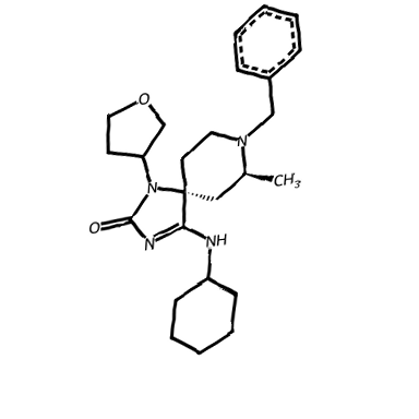 C[C@H]1C[C@]2(CCN1Cc1ccccc1)C(NC1CCCCC1)=NC(=O)N2C1CCOC1